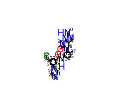 CNc1ncc2c(n1)N(C)C(=O)N(c1cc(NC(=O)c3cc(CF)cc(N4CCN(C)CC4)c3)ccc1C)C2